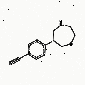 N#Cc1ccc(C2CNCCOC2)cc1